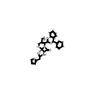 O=C(Cc1cccs1)N[C@@H]1C(=O)N2C(C(=O)OC(c3ccccc3)c3ccccc3)=C(CS)CS[C@@H]12